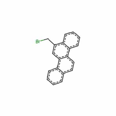 BrCc1cc2c3ccccc3ccc2c2ccccc12